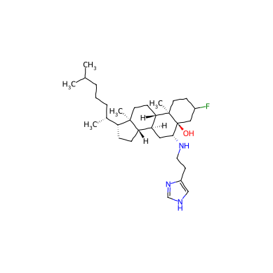 CC(C)CCC[C@@H](C)[C@H]1CC[C@H]2[C@@H]3C[C@@H](NCCc4c[nH]cn4)[C@@]4(O)CC(F)CC[C@]4(C)[C@H]3CC[C@]12C